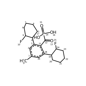 Cc1cc(C2CCCCC2F)c(C(=O)P(=O)(O)O)c(C2CCCCC2F)c1